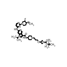 COC1CCN(c2nccc(Nc3cc4c(cn3)c(C(=O)NC3CCN(CCCOC5CN(C(=O)OC(C)(C)C)C5)CC3)cn4C(C)C)n2)CC1F